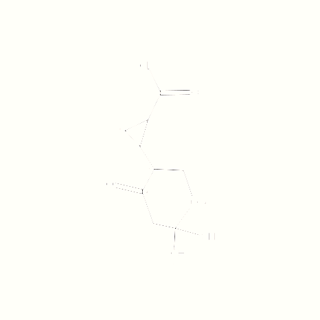 CC1(C)CC(=O)C(C2CC2C(=O)Cl)CO1